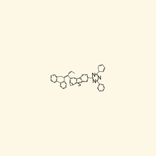 C/C=C\C(=C1/Cc2ccccc2-c2ccccc21)c1cc2c(sc3cc(-c4nc(-c5ccccc5)nc(C5C=CC=CC5)n4)ccc32)c2c1C2